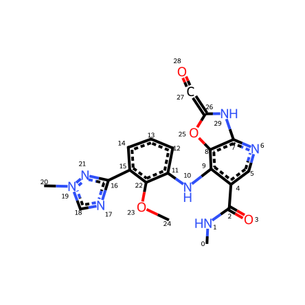 CNC(=O)c1cnc2c(c1Nc1cccc(-c3ncn(C)n3)c1OC)OC(=C=O)N2